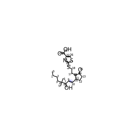 CCCCC(C)(C)[C@H](O)/C=C/[C@@H]1CCC(=O)[C@@H]1CCSc1nc(C(=O)O)cs1